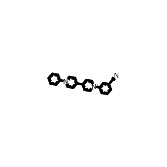 N#Cc1cccc(-[n+]2ccc(-c3cc[n+](-c4ccccc4)cc3)cc2)c1